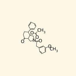 COc1cccc(CC(=O)N2CC3C(=O)CCC(c4ccccc4)C3(OC(C)=O)C2)c1